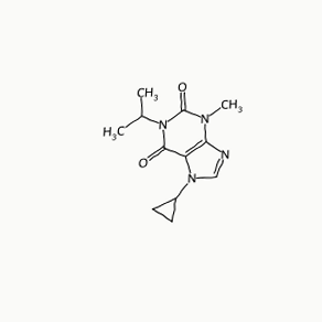 CC(C)n1c(=O)c2c(ncn2C2CC2)n(C)c1=O